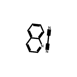 N#CC#N.c1ccc2ncccc2c1